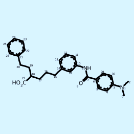 CN(C)c1ccc(C(=O)Nc2cccc(CCCC(CCc3ccccc3)C(=O)O)c2)cc1